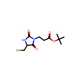 CC(C)(C)OC(=O)CCN1C(=O)NC(CBr)C1=O